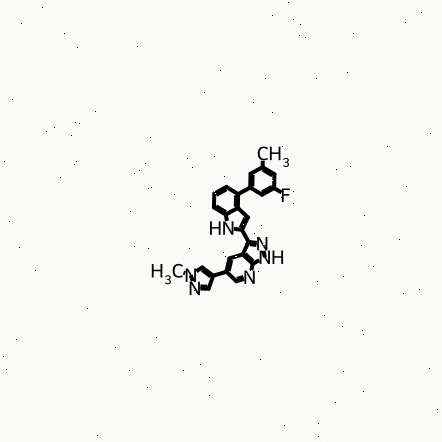 Cc1cc(F)cc(-c2cccc3[nH]c(-c4n[nH]c5ncc(-c6cnn(C)c6)cc45)cc23)c1